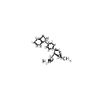 CC1=S2C=C(c3ccc(C4CCc5ccccc54)cc3)C(CON)=C12